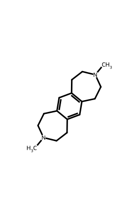 CN1CCc2cc3c(cc2CC1)CCN(C)CC3